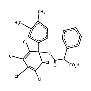 Cc1ccc(C2(OC(=O)C(C(=O)O)c3ccccc3)C(Cl)=C(Cl)C(Cl)=C(Cl)C2Cl)cc1C